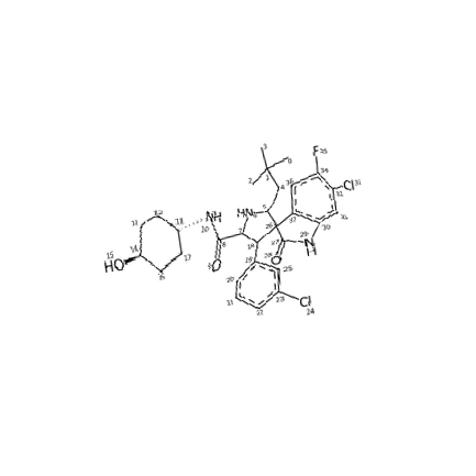 CC(C)(C)CC1NC(C(=O)N[C@H]2CC[C@H](O)CC2)C(c2cccc(Cl)c2)C12C(=O)Nc1cc(Cl)c(F)cc12